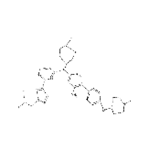 CN1CCC(Oc2ccc(-c3cnc(N(c4ccnc(-c5cnn(CC(F)F)c5)n4)C4CCC(F)CC4)cc3N)nc2)CC1